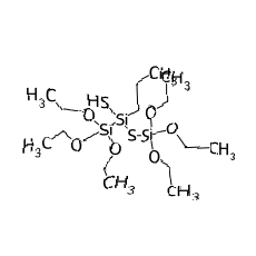 CCC[Si](S)(S[Si](OCC)(OCC)OCC)[Si](OCC)(OCC)OCC